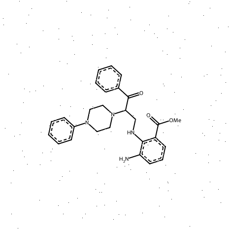 COC(=O)c1cccc(N)c1NCC(C(=O)c1ccccc1)N1CCN(c2ccccc2)CC1